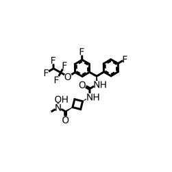 CN(O)C(=O)[C@H]1C[C@H](NC(=O)N[C@H](c2ccc(F)cc2)c2cc(F)cc(OC(F)(F)C(F)F)c2)C1